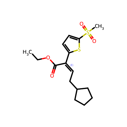 CCOC(=O)/C(=C\CC1CCCC1)c1ccc(S(C)(=O)=O)s1